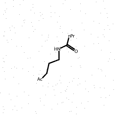 CCCC(=O)NCCCC(C)=O